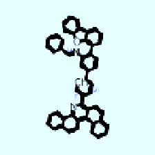 C/C=C(\C=C/Cc1ccc(-c2cccc3c2oc2ccccc23)c(/N=C/c2ccccc2)c1)c1nc2c3ccccc3ccc2c2c1ccc1ccccc12